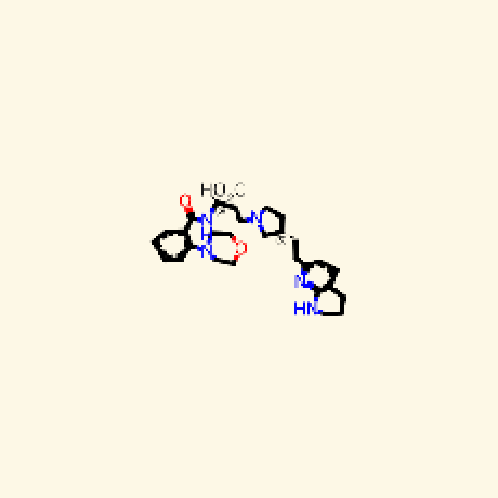 O=C(N[C@@H](CCN1CC[C@H](CCc2ccc3c(n2)NCCC3)C1)C(=O)O)c1ccccc1N1CCOCC1